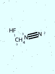 C.F.N#N